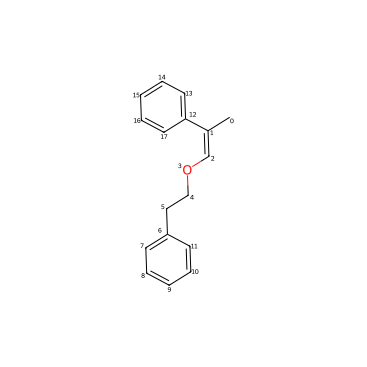 CC(=COCCc1ccccc1)c1ccccc1